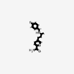 CC(CCc1ccc(C(N)=O)nc1)NCc1ccc(F)cc1